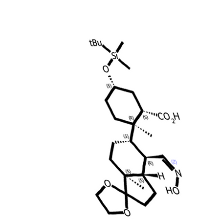 CC(C)(C)[Si](C)(C)O[C@H]1CC[C@](C)([C@H]2CC[C@@]3(C)[C@@H](CCC34OCCO4)[C@@H]2/C=N\O)[C@@H](C(=O)O)C1